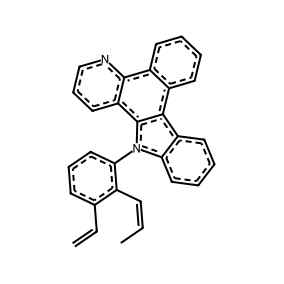 C=Cc1cccc(-n2c3ccccc3c3c4ccccc4c4ncccc4c32)c1/C=C\C